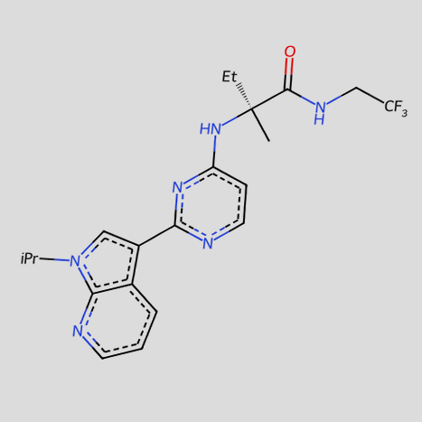 CC[C@](C)(Nc1ccnc(-c2cn(C(C)C)c3ncccc23)n1)C(=O)NCC(F)(F)F